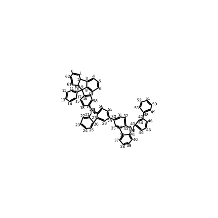 C1=CC2c3ccccc3C(c3ccccc3)(c3ccc(-n4c5ccccc5c5cc(-c6ccc7c(c6)c6ccccc6n7-c6cccc(-c7ccccc7)c6)ccc54)cc3)C2C=C1